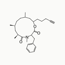 C#CCCCC1CC(C)CC[C@H](C)C[C@H](C)C(=O)N(C)C(Cc2ccccc2)C(=O)O1